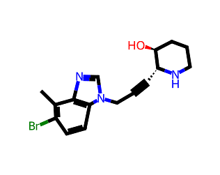 Cc1c(Br)ccc2c1ncn2CC#C[C@H]1NCCC[C@@H]1O